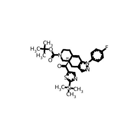 CC(C)(C)OC(=O)N1CCC2=Cc3c(cnn3-c3ccc(F)cc3)C[C@]2(C(=O)c2cnc([Si](C)(C)C)s2)C1